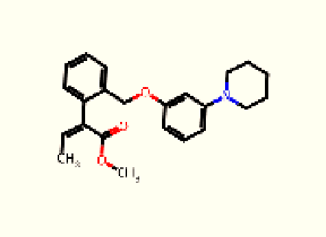 CC=C(C(=O)OC)c1ccccc1COc1cccc(N2CCCCC2)c1